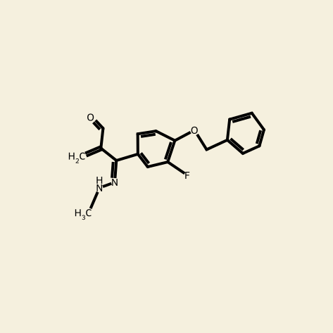 C=C(C=O)/C(=N\NC)c1ccc(OCc2ccccc2)c(F)c1